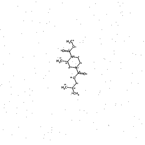 COC(=O)N1CCN(C(=O)OCC(C)C)CC1C